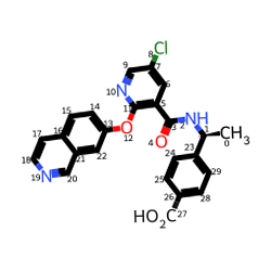 C[C@H](NC(=O)c1cc(Cl)cnc1Oc1ccc2ccncc2c1)c1ccc(C(=O)O)cc1